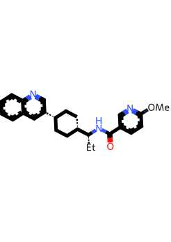 CC[C@@H](NC(=O)c1ccc(OC)nc1)[C@H]1CC[C@@H](c2cnc3ccccc3c2)CC1